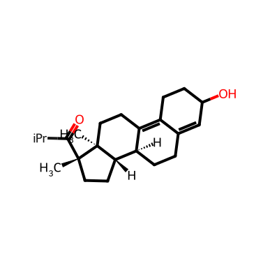 CC(C)C(=O)[C@@]1(C)CC[C@H]2[C@@H]3CCC4=CC(O)CCC4=C3CC[C@@]21C